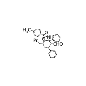 Cc1ccc(S(=O)(=O)N[C@@]2(c3ccccc3)C=C(CC(C)C)C[C@H](c3ccccc3)[C@H]2C=O)cc1